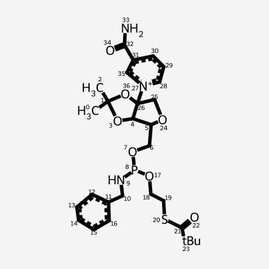 CC1(C)OC2C(COP(NCc3ccccc3)OCCSC(=O)C(C)(C)C)OCC2([n+]2cccc(C(N)=O)c2)O1